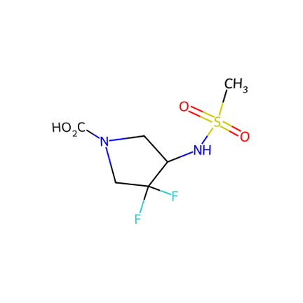 CS(=O)(=O)NC1CN(C(=O)O)CC1(F)F